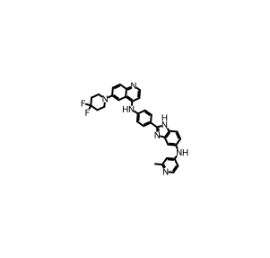 Cc1cc(Nc2ccc3[nH]c(-c4ccc(Nc5ccnc6ccc(N7CCC(F)(F)CC7)cc56)cc4)nc3c2)ccn1